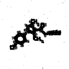 CNCC(=O)c1c(C)nn(-c2ccc(Cl)cc2)c1C